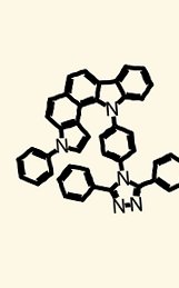 c1ccc(-c2nnc(-c3ccccc3)n2-c2ccc(-n3c4ccccc4c4ccc5ccc6c(ccn6-c6ccccc6)c5c43)cc2)cc1